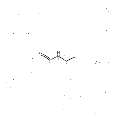 [CH]CNC=O